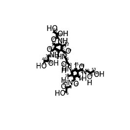 O=C(NCC(O)CO)c1c(I)c(NCC(O)CNC(=O)c2c(I)c(NC(=O)C(O)CO)c(I)c(C(=O)NCC(O)CO)c2I)c(I)c(C(=O)NCC(O)CO)c1I